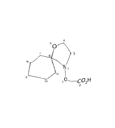 O=C(O)ON1CCOC12CCCCC2